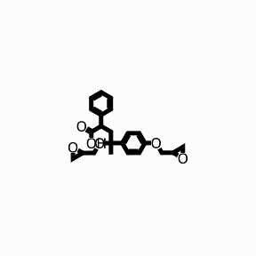 CC(CC(C(=O)O)c1ccccc1)(OCC1CO1)c1ccc(OCC2CO2)cc1